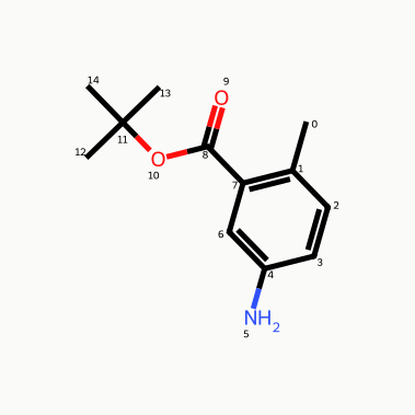 Cc1ccc(N)cc1C(=O)OC(C)(C)C